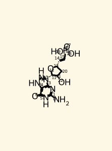 Nc1nc2c(c(=O)[nH]1)NNN2[C@@H]1O[C@H](/C=C/P(=O)(O)O)C[C@H]1O